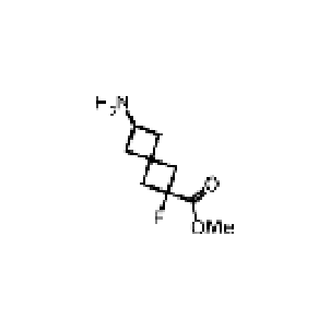 COC(=O)C1(F)CC2(CC(N)C2)C1